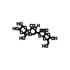 O=CC(O[C@H]1OC(CO)[C@@H](O)OC1O)C(CO)OC(O[C@H]1OC(O)[C@@H](O)OC1CO)C(=O)O